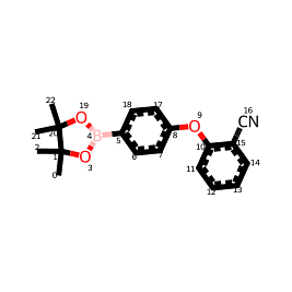 CC1(C)OB(c2ccc(Oc3ccccc3C#N)cc2)OC1(C)C